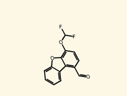 O=Cc1ccc(OC(F)F)c2oc3ccccc3c12